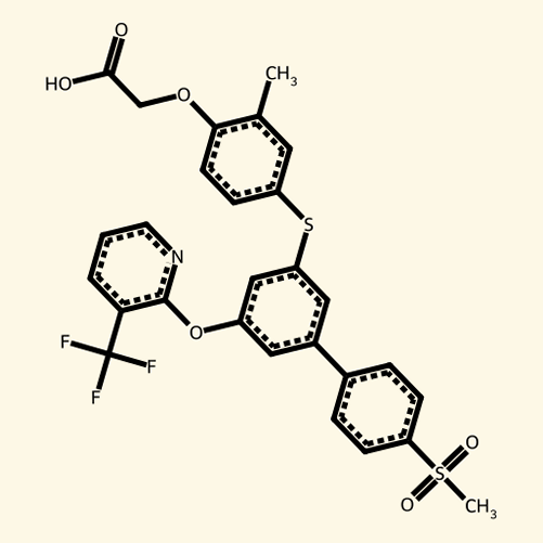 Cc1cc(Sc2cc(Oc3ncccc3C(F)(F)F)cc(-c3ccc(S(C)(=O)=O)cc3)c2)ccc1OCC(=O)O